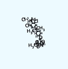 CC(=O)N(CCCl)c1c(Cl)cc(C(C)(C)c2ccc(OCc3ocnc3S(C)(=O)=O)cc2)cc1Cl